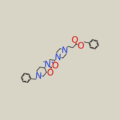 C[N+]1(C2CCN(Cc3ccccc3)CC2)CC(N2CCN(CCC(=O)OCc3ccccc3)CC2)OC1=O